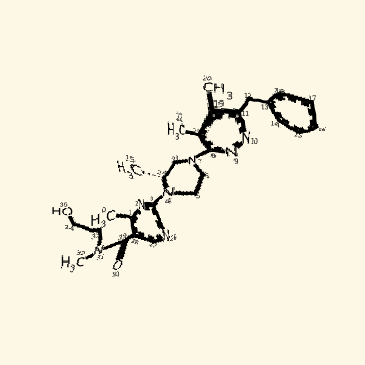 Cc1nc(N2CCN(c3nnc(Cc4ccccc4)c(C)c3C)C[C@H]2C)ncc1C(=O)N(C)CCO